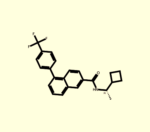 C[C@H](NC(=O)c1ccc2c(-c3ccc(C(F)(F)F)cc3)cccc2c1)C1CCC1